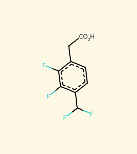 O=C(O)Cc1ccc(C(F)F)c(F)c1F